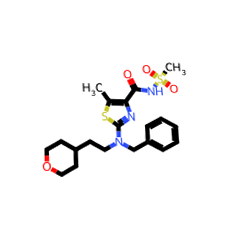 Cc1sc(N(CCC2CCOCC2)Cc2ccccc2)nc1C(=O)NS(C)(=O)=O